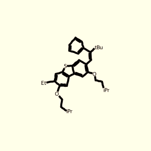 CCc1cc2sc3cc(C=C(c4ccccc4)C(C)(C)C)c(OCCC(C)C)cc3c2cc1OCCC(C)C